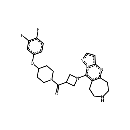 O=C(C1CN(c2c3c(nc4ccnn24)CCNCC3)C1)N1CCC(Oc2ccc(F)c(F)c2)CC1